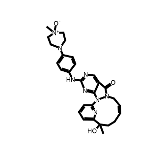 CC1(O)CC/C=C\Cn2c(=O)c3cnc(Nc4ccc(N5CC[N+](C)([O-])CC5)cc4)nc3n2-c2cccc1n2